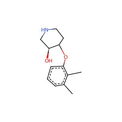 Cc1cccc(OC2CCNC[C@@H]2O)c1C